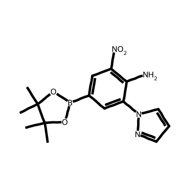 CC1(C)OB(c2cc(-n3cccn3)c(N)c([N+](=O)[O-])c2)OC1(C)C